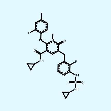 Cc1ccc(Nc2c(C(=O)NC3CC3)cc(Cc3ccnc(NS(=O)(=O)NC4CC4)c3F)c(=O)n2C)c(F)c1